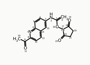 C=C(Nc1ccc2nc(C(C)=O)ccc2c1)ON1C(=O)CCC1=O